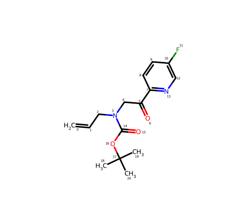 C=CCN(CC(=O)c1ccc(F)cn1)C(=O)OC(C)(C)C